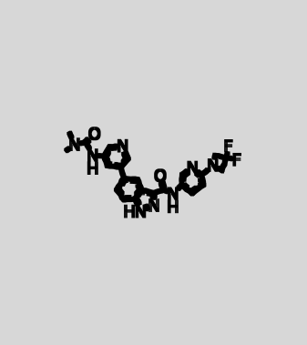 CN(C)C(=O)Nc1cncc(-c2ccc3[nH]nc(C(=O)Nc4ccc(N5CC(F)(F)C5)nc4)c3c2)c1